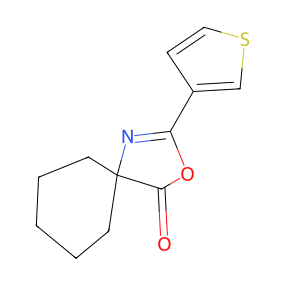 O=C1OC(c2ccsc2)=NC12CCCCC2